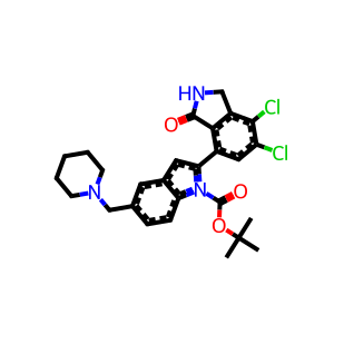 CC(C)(C)OC(=O)n1c(-c2cc(Cl)c(Cl)c3c2C(=O)NC3)cc2cc(CN3CCCCC3)ccc21